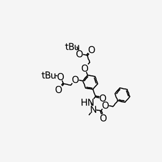 CN(NC(=O)c1ccc(OCC(=O)OC(C)(C)C)c(OCC(=O)OC(C)(C)C)c1)C(=O)OCc1ccccc1